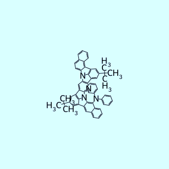 CC(C)(C)c1cc2c3nc4c(cc3n3c5ccc6ccccc6c5c(c1)c23)c1cc(C(C)(C)C)cc2c3cc5ccccc5c(N(c5ccccc5)c5ccccc5)c3n4c12